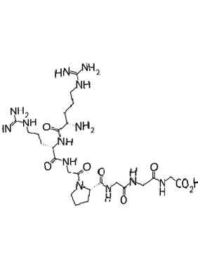 N=C(N)NCCC[C@H](NC(=O)[C@@H](N)CCCNC(=N)N)C(=O)NCC(=O)N1CCC[C@H]1C(=O)NCC(=O)NCC(=O)NCC(=O)O